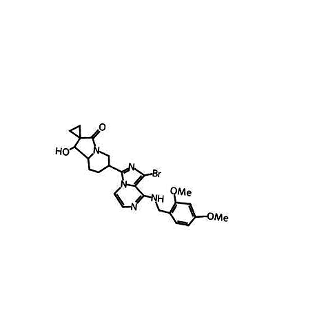 COc1ccc(CNc2nccn3c(C4CCC5C(O)C6(CC6)C(=O)N5C4)nc(Br)c23)c(OC)c1